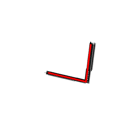 [Au].[Au].[Au].[Au].[Au].[Au].[Au].[Au].[Au].[Au].[Au].[Au].[Au].[Au].[Au].[Au].[Au].[Au].[Au].[Au].[Au].[Au].[Au].[Au].[Au].[Au].[Au].[Au].[Au].[Au].[Au].[Au].[Au].[Au].[Au].[Au].[Au].[Au].[Au].[Au].[Au].[Au].[Au].[Au].[Au].[Au].[Au].[Au].[Au].[Au].[Au].[Au].[Au].[Au].[Au].[Au].[Au].[Au].[Au].[Au].[Au].[Au].[Au].[Au].[Au].[Au].[Au].[Au].[Au].[Au].[Pt].[Pt].[Pt].[Pt].[Pt].[Pt].[Pt].[Pt].[Pt].[Pt].[Pt].[Pt].[Pt].[Pt].[Pt].[Pt].[Pt].[Pt].[Pt].[Pt].[Pt].[Pt].[Pt].[Pt].[Pt].[Pt].[Pt].[Pt].[Pt].[Pt]